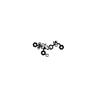 CN(C[C@@]1(c2cccc(Cl)c2)C[C@H]1CN1CCC(c2nnc(Cc3ccccc3)o2)CC1)S(=O)(=O)c1ccccc1